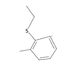 CCSc1[c]cccc1C